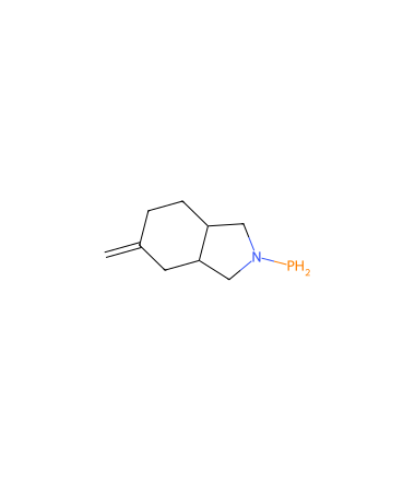 C=C1CCC2CN(P)CC2C1